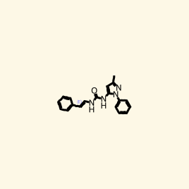 Cc1cc(NC(=O)N/C=C/c2ccccc2)n(-c2ccccc2)n1